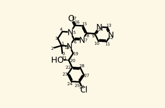 CC1(C)CCn2c(nc(-c3ccncn3)cc2=O)N1C[C@H](O)c1ccc(Cl)cc1